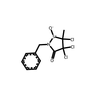 CC1(Cl)[S+]([O-])N(Cc2ccccc2)C(=O)C1(Cl)Cl